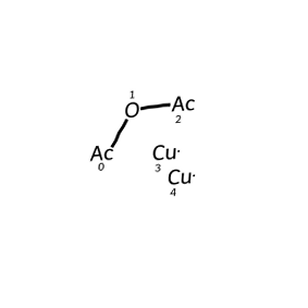 CC(=O)OC(C)=O.[Cu].[Cu]